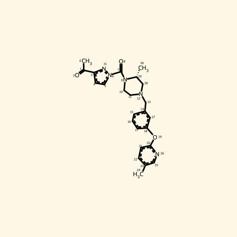 CC(=O)c1ccn(C(=O)N2CCN(Cc3cccc(Oc4ccc(C)cn4)c3)C[C@H]2C)n1